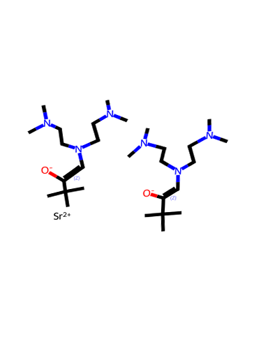 CN(C)CCN(/C=C(\[O-])C(C)(C)C)CCN(C)C.CN(C)CCN(/C=C(\[O-])C(C)(C)C)CCN(C)C.[Sr+2]